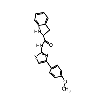 COc1ccc(-c2csc(NC(=O)C3Cc4ccccc4N3)n2)cc1